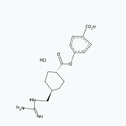 Cl.N=C(N)NC[C@H]1CC[C@H](C(=O)Oc2ccc(C(=O)O)cc2)CC1